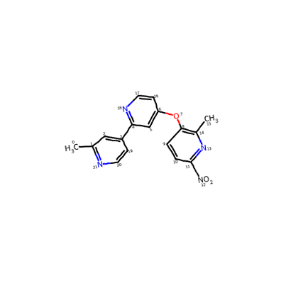 Cc1cc(-c2cc(Oc3ccc([N+](=O)[O-])nc3C)ccn2)ccn1